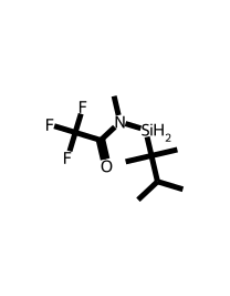 CC(C)C(C)(C)[SiH2]N(C)C(=O)C(F)(F)F